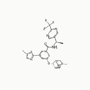 Cc1cnc(-c2cc(OC3C=C4OCC3CN4C)cc(C(=O)N[C@H](C)c3cnc(C(F)(F)F)nc3)c2)s1